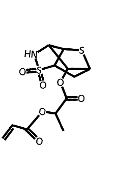 C=CC(=O)OC(C)C(=O)OC1C2CC3C(S2)C1NS3(=O)=O